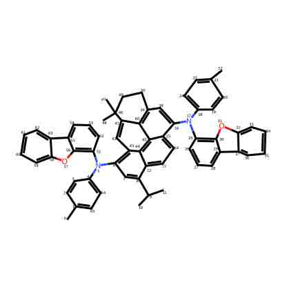 Cc1ccc(N(c2cc(C(C)C)c3ccc4c(N(c5ccc(C)cc5)c5cccc6c5oc5ccccc56)cc5c6c(cc2c3c46)C(C)(C)CC5)c2cccc3c2oc2ccccc23)cc1